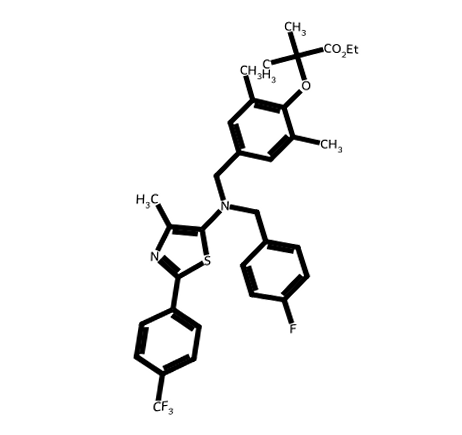 CCOC(=O)C(C)(C)Oc1c(C)cc(CN(Cc2ccc(F)cc2)c2sc(-c3ccc(C(F)(F)F)cc3)nc2C)cc1C